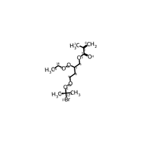 C=C(C)C(=O)OCC(CCOOC(C)(C)Br)OOCC